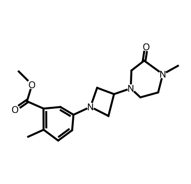 COC(=O)c1cc(N2CC(N3CCN(C)C(=O)C3)C2)ccc1C